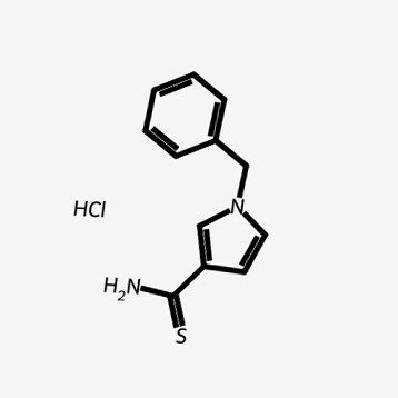 Cl.NC(=S)c1ccn(Cc2ccccc2)c1